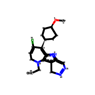 CC(C)O[C@H]1CC[C@H](C2=c3[nH]c4c(c3N(CC=O)CC=C2Cl)CN=NC=4)CC1